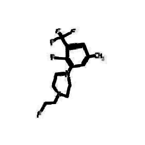 Cc1cc(N2CCN(CCF)CC2)c(F)c(C(F)(F)F)c1